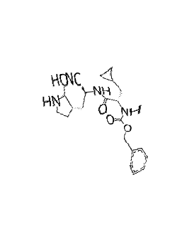 N#C[C@H](C[C@@H]1CCNC1O)NC(=O)[C@H](CC1CC1)NC(=O)OCc1ccccc1